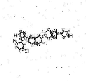 Fc1ccc(Cl)cc1-c1[nH]cnc1-c1ccc2ncc(N3CCn4nc(C5=CCNC5)nc4C3)cc2n1